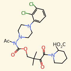 CC(=O)N(C(=O)OCC(C)(C)C(=O)C(=O)N1CCCCC1C(=O)O)N1CCN(c2cccc(Cl)c2Cl)CC1